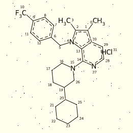 Cc1c(C)n(Cc2ccc(C(F)(F)F)cc2)c2c(N3CCCC(C4CCCCC4)C3)nccc12.Cl